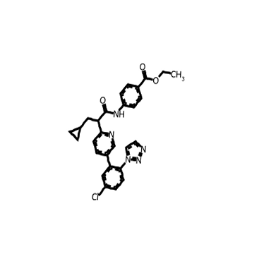 CCOC(=O)c1ccc(NC(=O)C(CC2CC2)c2ccc(-c3cc(Cl)ccc3-n3ccnn3)cn2)cc1